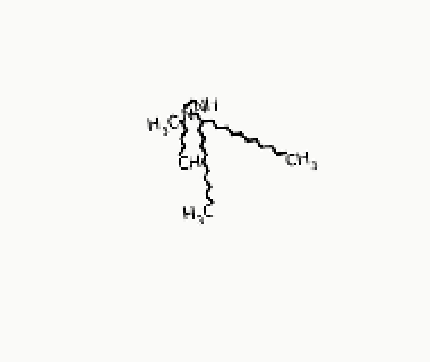 CCCCCCCCCCCCC(CCCCCCCCCCC)c1[nH]cc[n+]1C(C)CCCCC